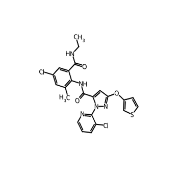 CCNC(=O)c1cc(Cl)cc(C)c1NC(=O)c1cc(Oc2ccsc2)nn1-c1ncccc1Cl